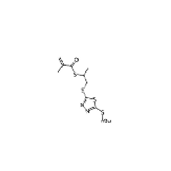 C=C(C)C(=O)SC(C)CSc1nnc(SCCCC)s1